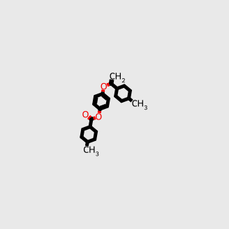 C=C(Oc1ccc(OC(=O)C2CCC(C)CC2)cc1)C1CCC(C)CC1